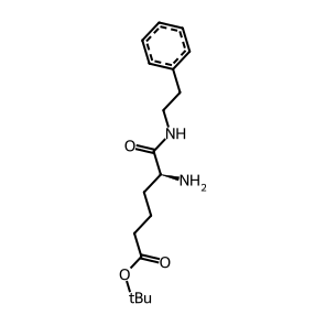 CC(C)(C)OC(=O)CCC[C@H](N)C(=O)NCCc1ccccc1